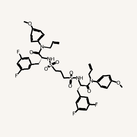 C=CCN(C(=O)[C@H](Cc1cc(F)cc(F)c1)NS(=O)(=O)CCCS(=O)(=O)N[C@H](Cc1cc(F)cc(F)c1)C(=O)N(CC=C)c1ccc(OC)cc1)c1ccc(OC)cc1